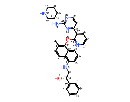 Cc1ccc2c(NC[C@@H](O)c3ccccc3)cccc2c1Oc1ncccc1-c1ccnc(N[C@H]2CCCNC2)n1